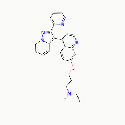 CCN(C)CCCOc1ccc2c(-c3c(-c4ccccn4)nn4ccccc34)ccnc2c1